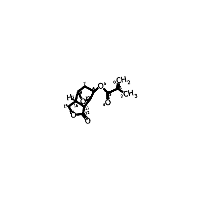 C=C(C)C(=O)OC1CC2OC1C1C(=O)OC[C@H]21